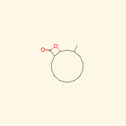 CC1CCCCCCCCCCC2C(=O)OC2C1